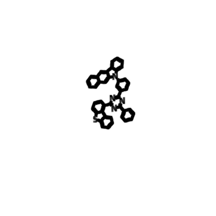 c1ccc(-c2nc(-c3cccc(-n4c5ccccc5c5cc6ccccc6cc54)c3)nc(-c3cccc4sc5ccccc5c34)n2)cc1